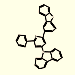 c1ccc(-c2cc(-n3c4ccccc4c4ccccc43)cc(-c3ccc4sc5ccccc5c4c3)n2)cc1